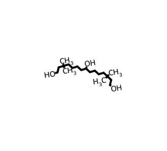 CC(C)(CCO)CCCCC(O)CCCCC(C)(C)CCO